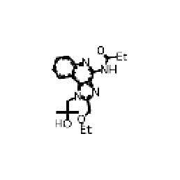 CCOCc1nc2c(NC(=O)CC)nc3ccccc3c2n1CC(C)(C)O